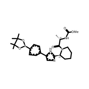 COC(=O)N[C@@H](C)C(=O)N1CCCC[C@H]1c1ncc(-c2ccc(B3OC(C)(C)C(C)(C)O3)cc2)[nH]1